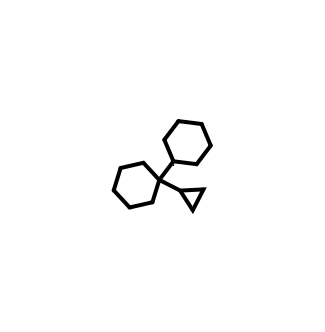 C1CC[C](C2(C3CC3)CCCCC2)CC1